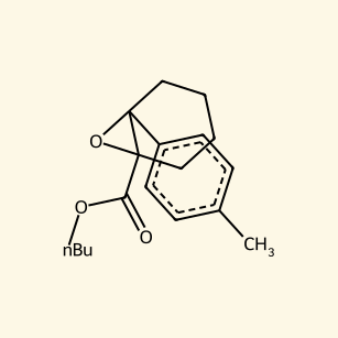 CCCCOC(=O)C12CCCCC1(c1ccc(C)cc1)O2